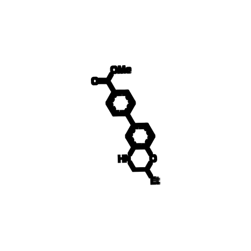 CCC1CNc2cc(-c3ccc(C(=O)OC)cc3)ccc2O1